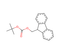 CC(C)(C)OC(=O)OCC1c2ccccc2-c2ccccc21